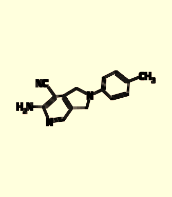 Cc1ccc(N2Cc3cnc(N)c(C#N)c3C2)cc1